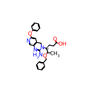 C[C@@H](OCc1ccccc1)[C@H](CCC(=O)O)N1Cc2cc(Oc3ccccc3)ncc2N=C1N